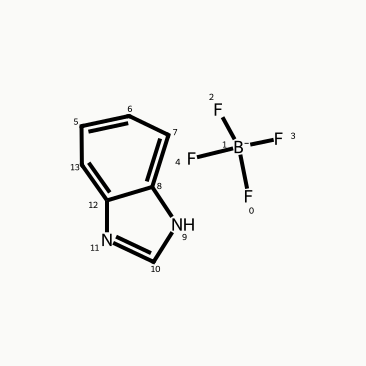 F[B-](F)(F)F.c1ccc2[nH]cnc2c1